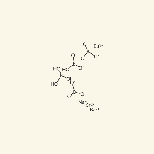 OB(O)O.[Ba+2].[Eu+3].[Na+].[O-]B([O-])O.[O-]B([O-])[O-].[O-]B([O-])[O-].[Sr+2]